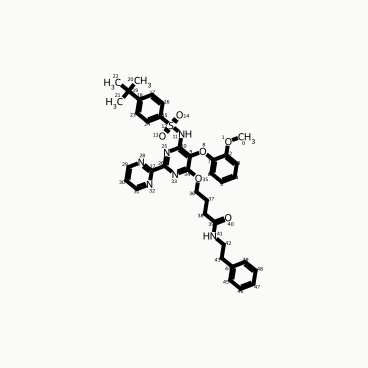 COc1ccccc1Oc1c(NS(=O)(=O)c2ccc(C(C)(C)C)cc2)nc(-c2ncccn2)nc1OCCCC(=O)NCCc1ccccc1